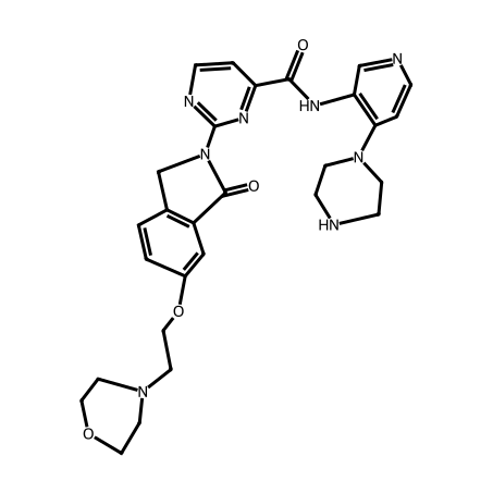 O=C(Nc1cnccc1N1CCNCC1)c1ccnc(N2Cc3ccc(OCCN4CCOCC4)cc3C2=O)n1